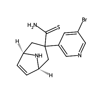 NC(=S)C1(c2cncc(Br)c2)C[C@H]2C=C[C@@H](C1)N2